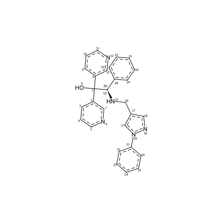 OC(c1cccnc1)(c1cccnc1)[C@H](NCc1cnn(-c2ccccc2)c1)c1ccccc1